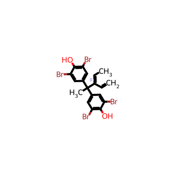 C=C/C(=C\C)C(C)(c1cc(Br)c(O)c(Br)c1)c1cc(Br)c(O)c(Br)c1